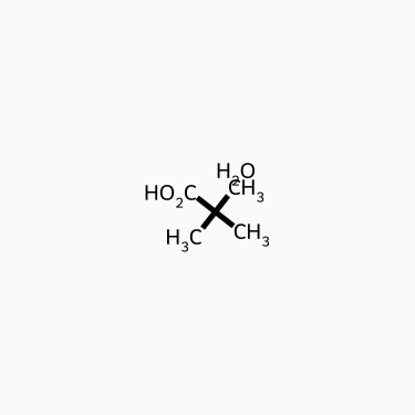 CC(C)(C)C(=O)O.O